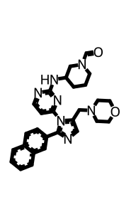 O=CN1CCCC(Nc2nccc(-n3c(CN4CCOCC4)cnc3-c3ccc4ccccc4c3)n2)C1